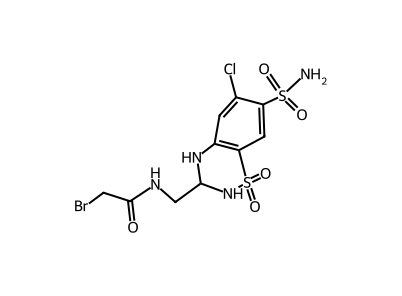 NS(=O)(=O)c1cc2c(cc1Cl)NC(CNC(=O)CBr)NS2(=O)=O